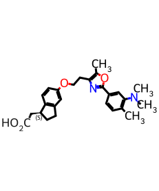 Cc1ccc(-c2nc(CCOc3ccc4c(c3)CC[C@H]4CC(=O)O)c(C)o2)cc1N(C)C